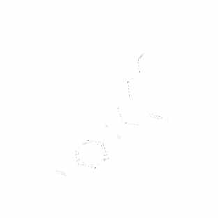 C=CCCCCN(CC=C)S(=O)(=O)c1ccc(C=C)cc1